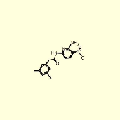 Cc1cc(C)cc(CC(=O)Nc2ccc([N+](=O)[O-])c(N)n2)c1